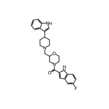 O=C(c1cc2cc(F)ccc2[nH]1)N1CCOC(CN2CCC(c3c[nH]c4ccccc34)CC2)C1